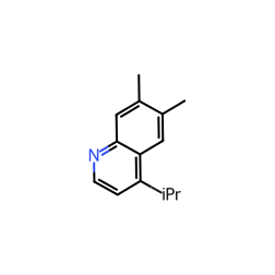 Cc1cc2nccc(C(C)C)c2cc1C